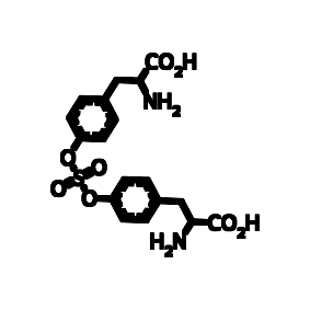 NC(Cc1ccc(OS(=O)(=O)Oc2ccc(CC(N)C(=O)O)cc2)cc1)C(=O)O